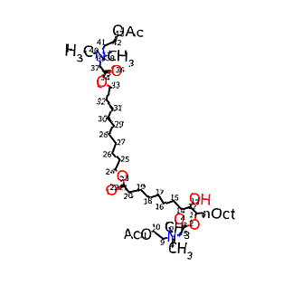 CCCCCCCCC(OC(=O)C[N+](C)(C)CCOC(C)=O)C(O)CCCCCCCC(=O)OCCCCCCCCCCOC(=O)C[N+](C)(C)CCOC(C)=O